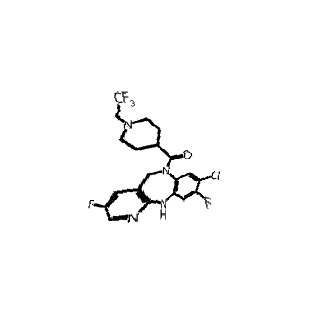 O=C(C1CCN(CC(F)(F)F)CC1)N1Cc2cc(F)cnc2Nc2cc(F)c(Cl)cc21